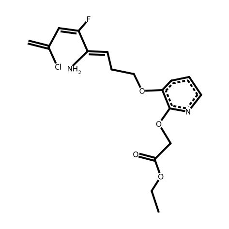 C=C(Cl)/C=C(/F)C(N)=CCCOc1cccnc1OCC(=O)OCC